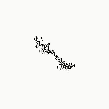 Cc1ncsc1-c1ccc([C@H](C)NC(=O)[C@@H]2C[C@@H](O)CN2C(=O)[C@@H](NC(=O)CN2CCN(CCN3CCN(c4ccc(C(=O)NC5C(C)(C)C(Oc6ccc(C#N)c(Cl)c6)C5(C)C)cn4)CC3)CC2)C(C)(C)C)cc1